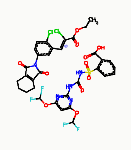 CCOC(=O)/C(Cl)=C/c1cc(N2C(=O)C3=C(CCCC3)C2=O)ccc1Cl.O=C(Nc1nc(OC(F)F)cc(OC(F)F)n1)NS(=O)(=O)c1ccccc1C(=O)O